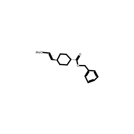 CO/C=C/[C@H]1CC[C@H](C(=O)OCc2ccccc2)CC1